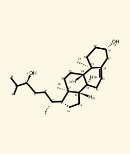 CC(C)[C@@H](O)CC[C@@H](C)[C@H]1CC[C@H]2[C@@H]3CC=C4C[C@@H](O)CC[C@]4(C)[C@H]3CC[C@]12C